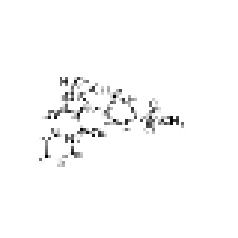 CC1(C)OC(=O)C(C(=O)N2CCCCC2)=C1c1ccc(S(C)(=O)=O)cc1